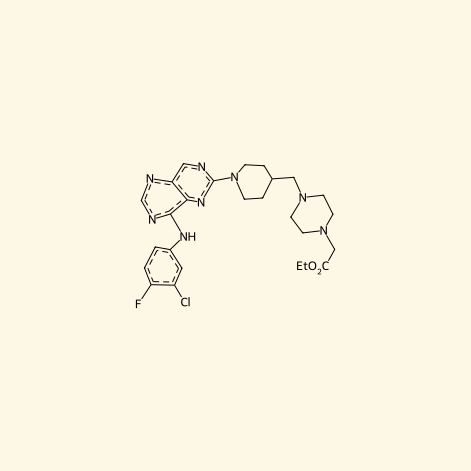 CCOC(=O)CN1CCN(CC2CCN(c3ncc4ncnc(Nc5ccc(F)c(Cl)c5)c4n3)CC2)CC1